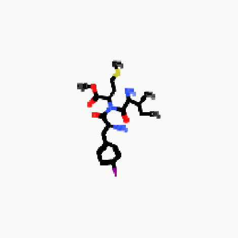 CC[C@H](C)[C@H](N)C(=O)N(C(=O)[C@@H](N)Cc1ccc(I)cc1)[C@@H](CCSC)C(=O)OC